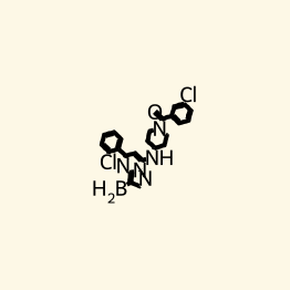 Bc1cnn2c(NC3CCN(C(=O)c4cccc(Cl)c4)CC3)cc(-c3ccccc3Cl)nc12